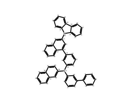 c1ccc(-c2cccc(N(c3cccc(-c4cc(-n5c6ccccc6c6ccccc65)cc5ccccc45)c3)c3ccc4ccccc4c3)c2)cc1